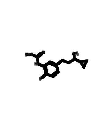 COC(=O)Nc1cc(CCC(N)C2CC2)ccc1F